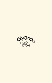 Clc1ccc(CN2CCN(c3nc4ccccc4s3)CC2)cc1.O=C(O)C(=O)O